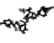 CC(=O)c1nn(CC(=O)N2C[C@H](F)C[C@H]2C(=O)Nc2cccc(Br)n2)c2cnc(-c3cnc(C)nc3)cc12